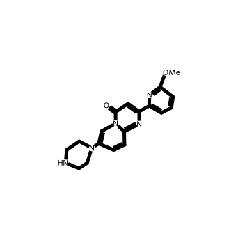 COc1cccc(-c2cc(=O)n3cc(N4CCNCC4)ccc3n2)n1